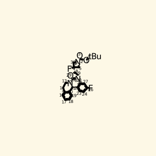 CC(C)(C)OC(=O)N1CC(F)([C@@H]2CN=C(N3CCc4ccccc4[C@@H]3c3ccc(F)cc3)O2)C1